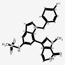 Cn1cc(-c2cc(NS(C)(=O)=O)cc3ccn(Cc4ccc(F)cc4)c23)c2cc[nH]c(=O)c21